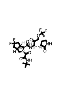 CC(C)(C)NC(=O)C(=O)N1C[C@@H]2CC(F)(F)C[C@@H]2[C@H]1C(=O)N[C@@H](C[C@@H]1CCNC1=O)C(=O)COC(F)(F)F